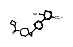 COc1ccc(C(=O)O)cc1-c1ccc(C2CC23CCN(C(=O)C2CCC2)CC3)cc1